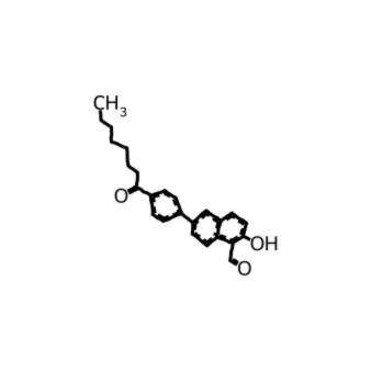 CCCCCCCC(=O)c1ccc(-c2ccc3c(C=O)c(O)ccc3c2)cc1